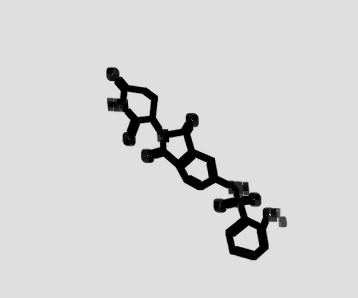 O=C1CCC(N2C(=O)c3ccc(NS(=O)(=O)c4ccccc4C(F)(F)F)cc3C2=O)C(=O)N1